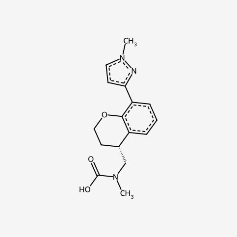 CN(C[C@@H]1CCOc2c(-c3ccn(C)n3)cccc21)C(=O)O